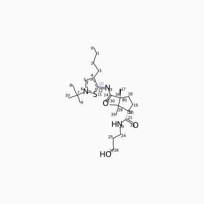 CCCCc1cn(C(C)(C)C)s/c1=N\C(=O)[C@]1(C)CC[C@H](C(=O)NCCCO)C1(C)C